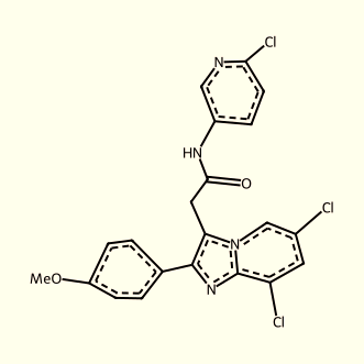 COc1ccc(-c2nc3c(Cl)cc(Cl)cn3c2CC(=O)Nc2ccc(Cl)nc2)cc1